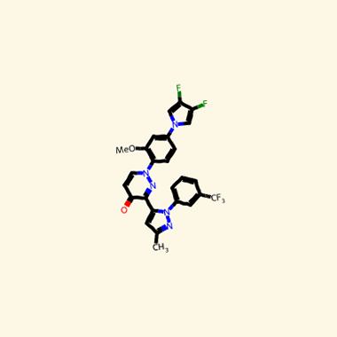 COc1cc(-n2cc(F)c(F)c2)ccc1-n1ccc(=O)c(-c2cc(C)nn2-c2cccc(C(F)(F)F)c2)n1